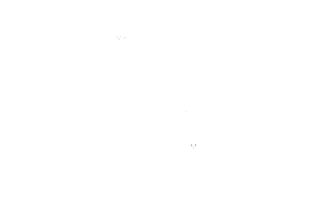 COc1ccc2ccc(O)c(-c3c(O)ccc4ccc(OC)cc34)c2c1